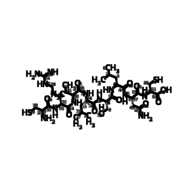 CC(C)C[C@H](NC(=O)[C@H](CO)NC(=O)[C@H](CC(C)C)NC(=O)[C@@H](NC(=O)[C@H](CCCNC(=N)N)NC(=O)[C@@H](N)CS)C(C)C)C(=O)N[C@@H](CC(N)=O)C(=O)N[C@@H](CS)C(=O)O